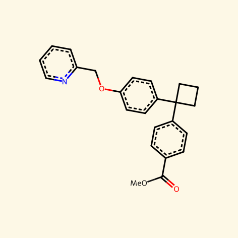 COC(=O)c1ccc(C2(c3ccc(OCc4ccccn4)cc3)CCC2)cc1